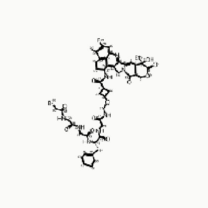 CC[C@@]1(O)C(=O)OCc2c1cc1n(c2=O)Cc2c-1nc1cc(F)c(C)c3c1c2[C@@H](NC(=O)C1CC(OCNC(=O)CNC(=O)[C@H](Cc2ccccc2)NC(=O)CNC(=O)CNC(=O)CBr)C1)CC3